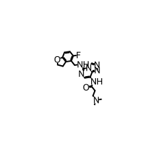 CN(C)CCC(=O)Nc1cnc(NCc2c(F)ccc3c2CCO3)n2cnnc12